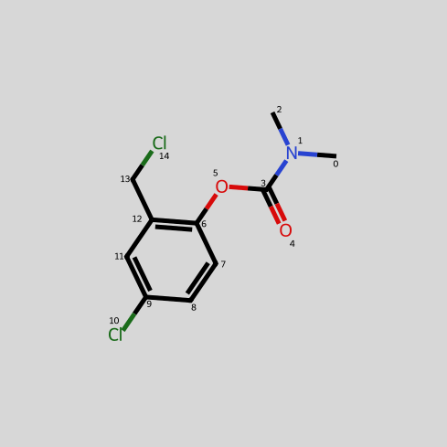 CN(C)C(=O)Oc1ccc(Cl)cc1CCl